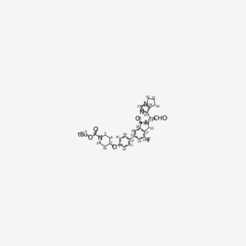 CC(C)(C)OC(=O)N1CCC(Oc2ccc(-c3cc(F)c4c(c3)C(=O)N(C([C]=O)c3ncn5c3CCC5)C4)cc2)CC1